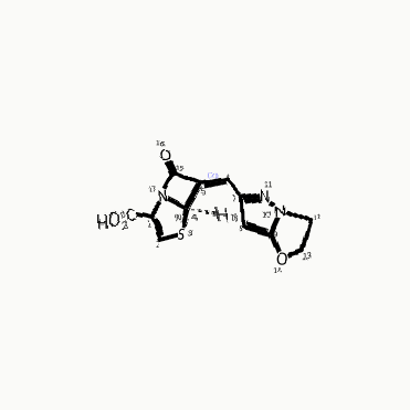 O=C(O)C1=CS[C@@H]2/C(=C\c3cc4n(n3)CCO4)C(=O)N12